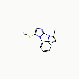 CC(=O)Sc1cnc2n1C1=CC=CCC13C=CC=C(C)N23